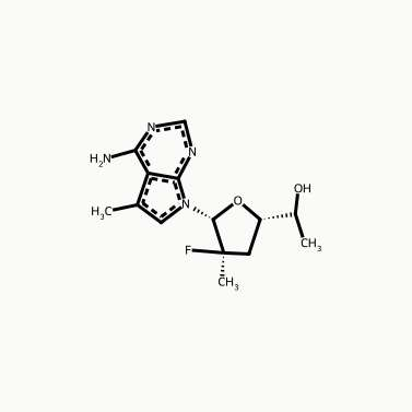 Cc1cn([C@@H]2O[C@H](C(C)O)C[C@@]2(C)F)c2ncnc(N)c12